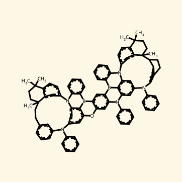 CC1(C)CCC2(C)CCc3cccc(c3)N(c3ccccc3)c3cc4c5c(c3)N(c3ccc1c2c3)c1ccccc1B5c1cc2c(cc1O4)N(c1ccccc1)c1cc3cc4c1B2c1ccccc1N4c1ccc2c(c1)C(C)(CCC2(C)C)C1CCC2=C(C=CC=CC21)N3c1ccccc1